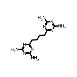 Nc1nc(N)nc(CCCCc2nc(N)nc(N)n2)n1